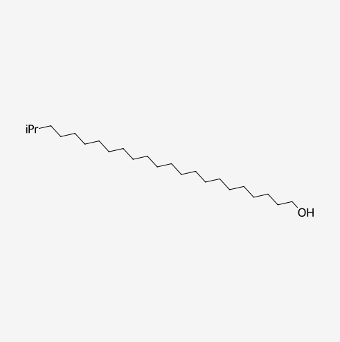 CC(C)CCCCCCCCCCCCCCCCCCCCCO